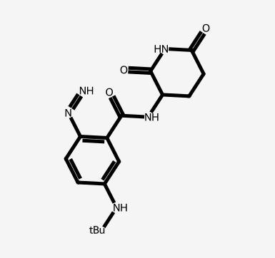 CC(C)(C)Nc1ccc(N=N)c(C(=O)NC2CCC(=O)NC2=O)c1